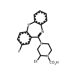 CCC1CN(C2=Nc3ccccc3Sc3ccc(F)cc32)CCN1C(=O)O